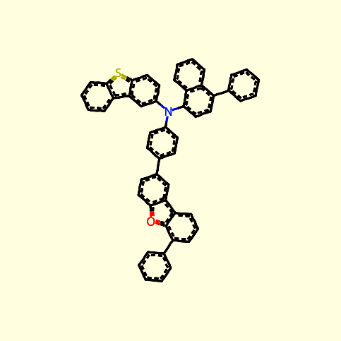 c1ccc(-c2ccc(N(c3ccc(-c4ccc5oc6c(-c7ccccc7)cccc6c5c4)cc3)c3ccc4sc5ccccc5c4c3)c3ccccc23)cc1